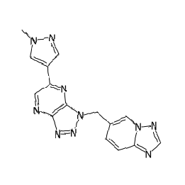 Cn1cc(-c2cnc3nnn(Cc4ccc5ncnn5c4)c3n2)cn1